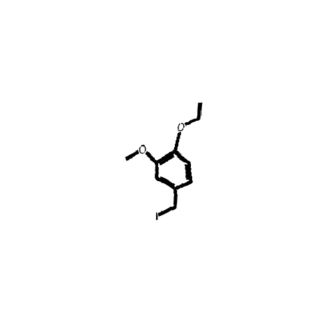 CCOc1ccc(CI)cc1OC